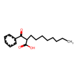 CCCCCCCCC(C(=O)O)C(=O)c1ccccc1